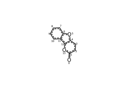 O=c1ccc2oc3ccccc3c2o1